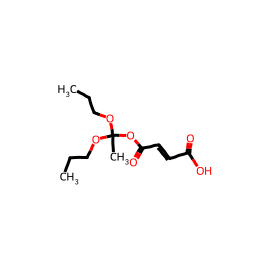 CCCOC(C)(OCCC)OC(=O)C=CC(=O)O